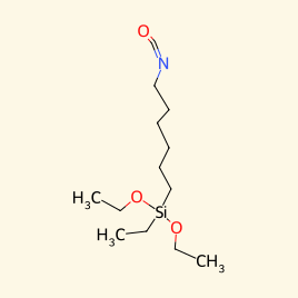 CCO[Si](CC)(CCCCCCN=C=O)OCC